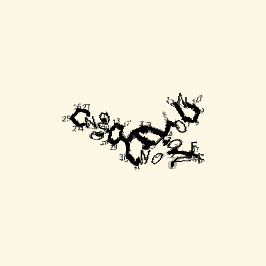 O=C(On1c(COc2cccnc2)cc2c(-c3ccc(S(=O)(=O)N4CCCC4)cc3)ccnc21)C(F)(F)F